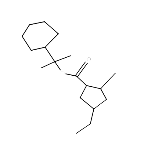 CCC1CC(C)C(C(=O)OC(C)(C)C2CCCCC2)C1